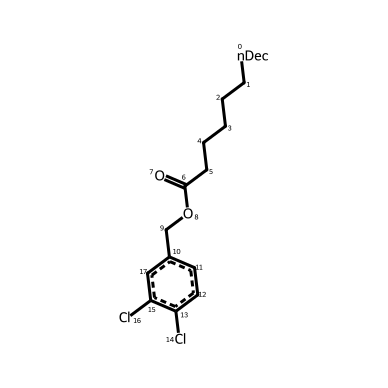 CCCCCCCCCCCCCCCC(=O)OCc1ccc(Cl)c(Cl)c1